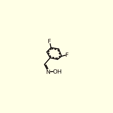 O/N=C\c1cc(F)cc(F)c1